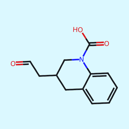 O=CCC1Cc2ccccc2N(C(=O)O)C1